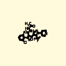 CC(=O)NNC(=O)c1c(-c2c(F)cccc2Cl)noc1-c1cnn(-c2ccncc2)c1C(F)(F)F